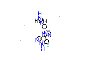 Fc1ccc(-c2c(-c3ccncc3)nn3c2nccc3[C@H]2CC[C@H](N3C[C@@H]4C[C@H]3CN4)CC2)c2cn[nH]c12